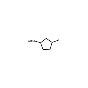 COC1CC[C](F)C1